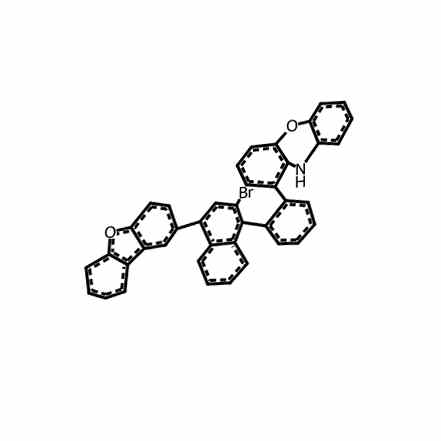 Brc1cc(-c2ccc3oc4ccccc4c3c2)c2ccccc2c1-c1ccccc1-c1cccc2c1Nc1ccccc1O2